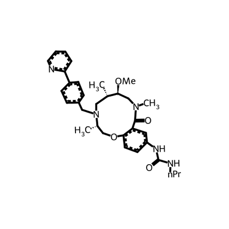 CCCNC(=O)Nc1ccc2c(c1)C(=O)N(C)C[C@H](OC)[C@@H](C)CN(Cc1ccc(-c3ccccn3)cc1)[C@@H](C)CO2